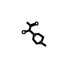 CC(=O)C(Cl)N1CCN(C)CC1